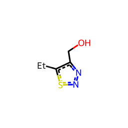 CCc1snnc1CO